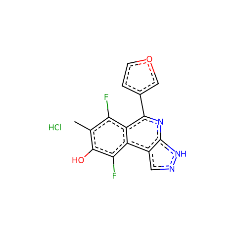 Cc1c(O)c(F)c2c(c(-c3ccoc3)nc3[nH]ncc32)c1F.Cl